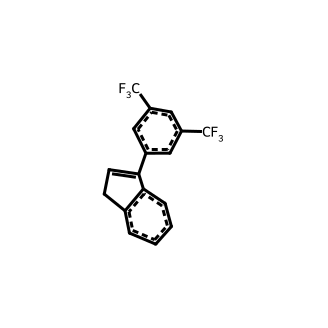 FC(F)(F)c1cc(C2=CCc3ccccc32)cc(C(F)(F)F)c1